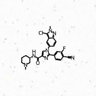 CN1CCC[C@@H](NC(=O)c2cn(-c3ccc4nn(C)c(Cl)c4c3)c(-c3ccc(C#N)c(F)c3)n2)C1